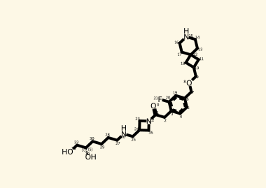 O=C(Cc1ccc(COCC2CC3(CCNCC3)C2)cc1F)N1CC(CNCCCC[C@H](O)CO)C1